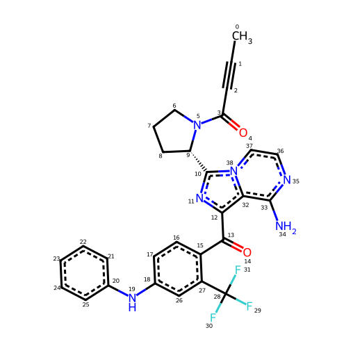 CC#CC(=O)N1CCC[C@H]1c1nc(C(=O)c2ccc(Nc3ccccc3)cc2C(F)(F)F)c2c(N)nccn12